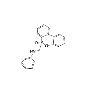 O=P1(CNc2ccccc2)Oc2ccccc2-c2ccccc21